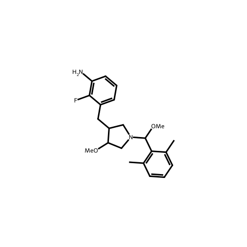 COC1CN(C(OC)c2c(C)cccc2C)CC1Cc1cccc(N)c1F